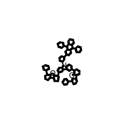 c1ccc(-c2c3ccccc3c(-c3ccccc3)c3cc(-c4cccc(-n5c6ccc(-c7cccc8c7oc7c(-c9ccccc9)cccc78)cc6c6cc(-c7cccc8c7oc7c(-c9ccccc9)cccc78)ccc65)c4)ccc23)cc1